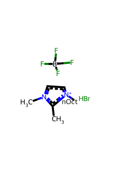 Br.CCCCCCCC[n+]1ccn(C)c1C.F[B-](F)(F)F